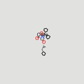 COC(=O)[C@@H]1C[C@H](OC[C@@H]2C[C@H]2Cc2ccccc2)CN1C(=O)C(c1ccccc1)c1ccccc1